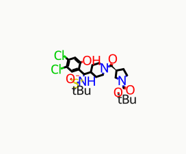 CC(C)(C)OC(=O)N1CC[C@H](C(=O)N2CCC([C@@H](N[S@@+]([O-])C(C)(C)C)c3cc(Cl)c(Cl)cc3O)CC2)C1